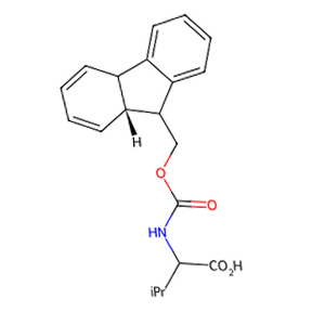 CC(C)C(NC(=O)OCC1c2ccccc2C2C=CC=C[C@H]21)C(=O)O